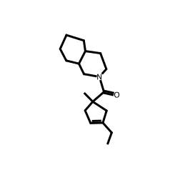 CCC1=CCC(C)(C(=O)N2CCC3CCCCC3C2)C1